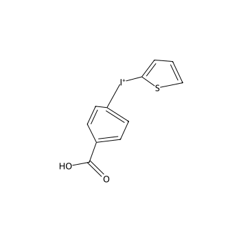 O=C(O)c1ccc([I+]c2cccs2)cc1